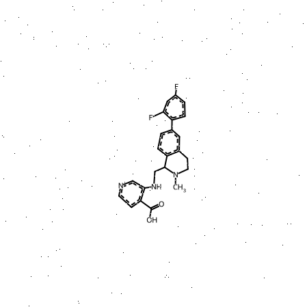 CN1CCc2cc(-c3ccc(F)cc3F)ccc2C1CNc1cnccc1C(=O)O